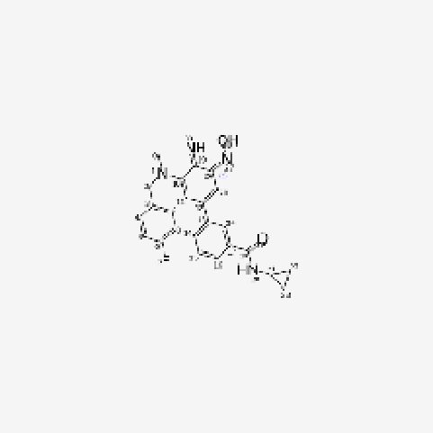 CN(Cc1ccc(F)cc1)C1=CC(c2cccc(C(=O)NC3CC3)c2)=C/C(=N/O)C1=N